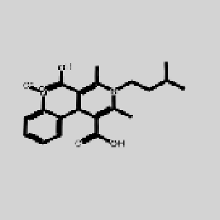 CC1=C(C(=O)O)C(c2ccccc2[N+](=O)[O-])C(C(=O)O)=C(C)N1CCC(C)C